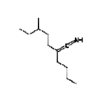 CCCCC(=C=N)CCC(C)CC